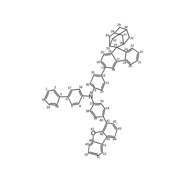 c1ccc(-c2ccc(N(c3ccc(-c4ccc5c(c4)-c4ccccc4C54C5CC6CC(C5)CC4C6)cc3)c3ccc(-c4cccc5c4oc4ccccc45)cc3)cc2)cc1